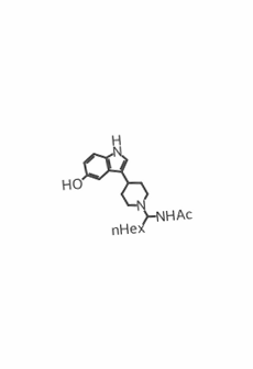 CCCCCCC(NC(C)=O)N1CCC(c2c[nH]c3ccc(O)cc23)CC1